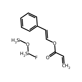 C=CC(=O)OC=Cc1ccccc1.F[SiH2]O[SiH3]